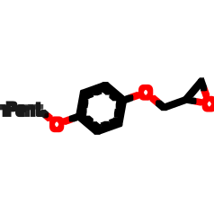 CCCCCOc1ccc(OCC2CO2)cc1